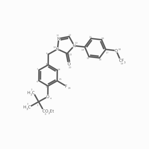 CCOC(=O)C(C)(C)Oc1ccc(Cn2ncn(-c3ccc(OC(F)(F)F)cc3)c2=O)cc1F